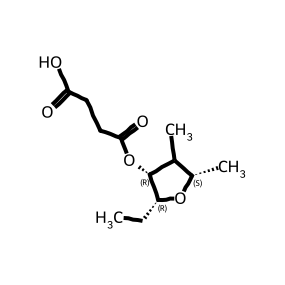 CC[C@H]1O[C@@H](C)C(C)[C@H]1OC(=O)CCC(=O)O